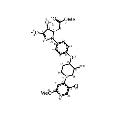 COC(=O)C[C@H]1[C@H](C)C(C(F)(F)F)=NN1c1ccc(OC2CCN(c3cc(OC)ncc3Cl)CC2F)cc1